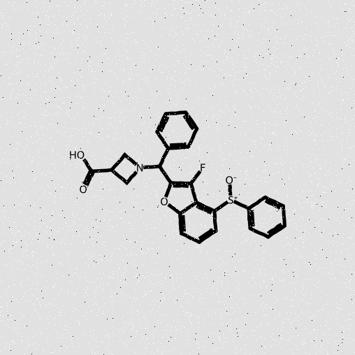 O=C(O)C1CN(C(c2ccccc2)c2oc3cccc([S+]([O-])c4ccccc4)c3c2F)C1